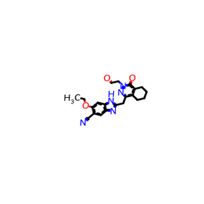 CCOc1cc2[nH]c(Cc3nn(CC=O)c(=O)c4c3CCCC4)nc2cc1C#N